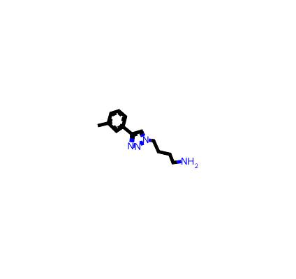 Cc1cccc(-c2cn(CCCCN)nn2)c1